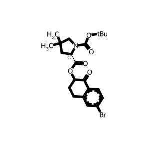 CC1(C)C[C@@H](C(=O)OC2CCc3cc(Br)ccc3C2=O)N(C(=O)OC(C)(C)C)C1